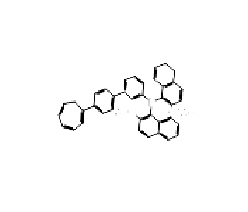 COc1ccc2c(c1B(c1cccc(-c3ccc(C4=CC=CC=CC4)cc3)c1)c1c(OC)ccc3ccccc13)C=CCC2